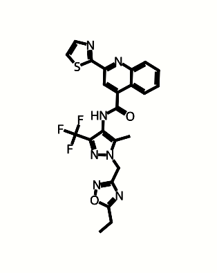 CCc1nc(Cn2nc(C(F)(F)F)c(NC(=O)c3cc(-c4nccs4)nc4ccccc34)c2C)no1